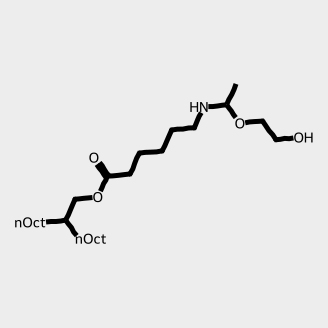 CCCCCCCCC(CCCCCCCC)COC(=O)CCCCCNC(C)OCCO